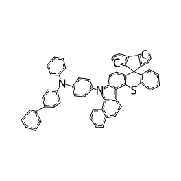 c1ccc(-c2ccc(N(c3ccccc3)c3ccc(-n4c5ccc6c(c5c5ccc7ccccc7c54)Sc4ccccc4C64c5ccccc5-c5ccccc54)cc3)cc2)cc1